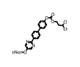 CCCCCCCCCOc1cnc(-c2ccc(-c3ccc(OC(=O)OCCC(Cl)CC)cc3)cc2)nc1